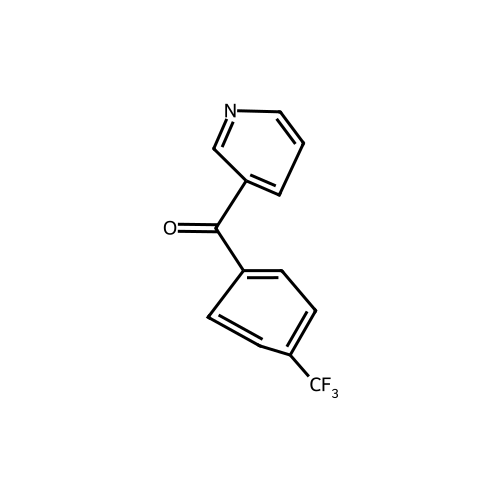 O=C(c1ccc(C(F)(F)F)cc1)c1cccnc1